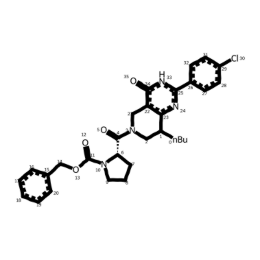 CCCCC1CN(C(=O)[C@@H]2CCCN2C(=O)OCc2ccccc2)Cc2c1nc(-c1ccc(Cl)cc1)[nH]c2=O